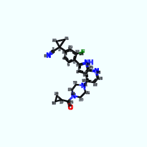 N#CC1(c2ccc(-c3cc4c(N5CCN(C(=O)C6CC6)CC5)ccnc4[nH]3)c(F)c2)CC1